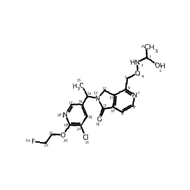 CC(O)NOCc1nccc2c1CN(C(C)c1cnc(OCCF)c(Cl)c1)C2=O